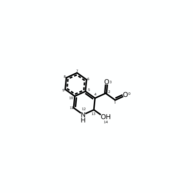 O=CC(=O)C1=c2ccccc2=CNC1O